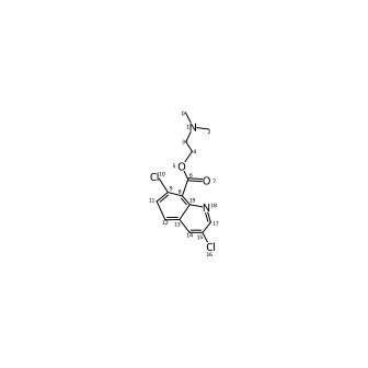 CN(C)CCOC(=O)c1c(Cl)ccc2cc(Cl)cnc12